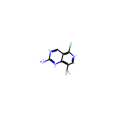 Nc1ncc2c(Cl)ncc(C(F)(F)F)c2n1